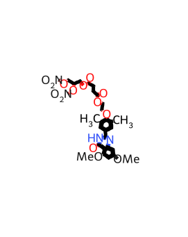 COc1cc(OC)c2c(=O)[nH]c(-c3cc(C)c(OCCOC(=O)CCC(=O)OCC(CO[N+](=O)[O-])O[N+](=O)[O-])c(C)c3)nc2c1